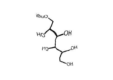 CC(C)COCC(O)C(O)C(O)C(O)CO